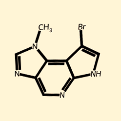 Cn1cnc2cnc3[nH]cc(Br)c3c21